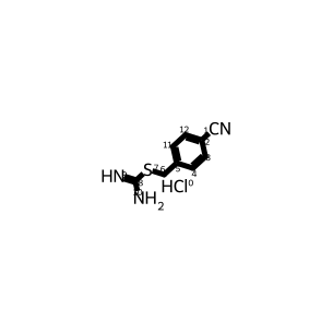 Cl.N#Cc1ccc(CSC(=N)N)cc1